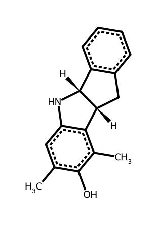 Cc1cc2c(c(C)c1O)[C@H]1Cc3ccccc3[C@H]1N2